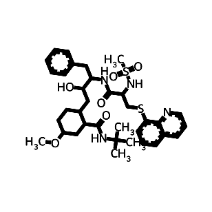 COC1CCC(CC(O)C(Cc2ccccc2)NC(=O)C(CSc2cccc3cccnc23)NS(C)(=O)=O)C(C(=O)NC(C)(C)C)C1